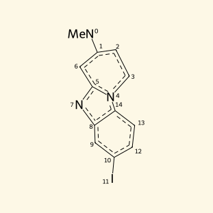 CNc1ccn2c(c1)nc1cc(I)ccc12